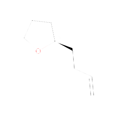 C=CCC[C@@H]1CCCO1